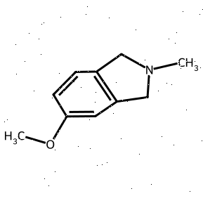 COc1ccc2c(c1)CN(C)C2